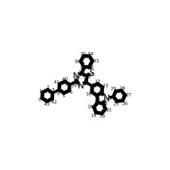 c1ccc(-c2ccc(-c3nc(-c4ccc5c(c4)c4ccccc4n5-c4ccccc4)c4sc5ccccc5c4n3)cc2)cc1